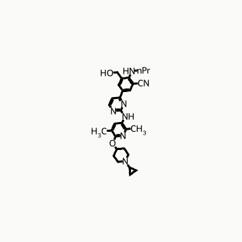 CCCNc1c(C#N)cc(-c2ccnc(Nc3cc(C)c(OC4CCN(C5CC5)CC4)nc3C)n2)cc1CO